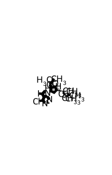 CC1(C)O[C@@H]2[C@@H](CO[Si](C)(C)C(C)(C)C)C[C@@H](n3cc(I)c4c(Cl)ncnc43)[C@@H]2O1